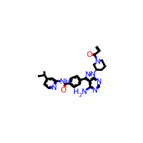 C=CC(=O)N1CCC[C@@H](n2nc(-c3ccc(C(=O)Nc4cc(C(C)C)ccn4)cc3)c3c(N)ncnc32)C1